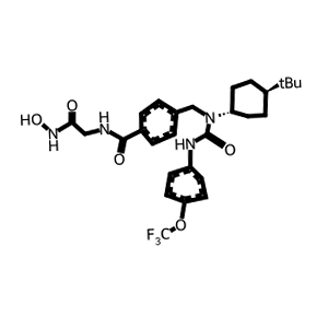 CC(C)(C)[C@H]1CC[C@H](N(Cc2ccc(C(=O)NCC(=O)NO)cc2)C(=O)Nc2ccc(OC(F)(F)F)cc2)CC1